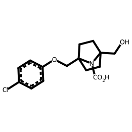 O=C(O)N1C2(CO)CCC1(COc1ccc(Cl)cc1)CC2